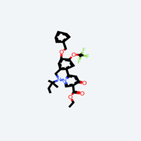 CCOC(=O)c1cn2c(cc1=O)-c1cc(OC(F)(F)F)c(OCc3ccccc3)cc1CN2C(C)(C)CC